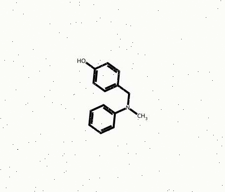 CN(Cc1ccc(O)cc1)c1ccccc1